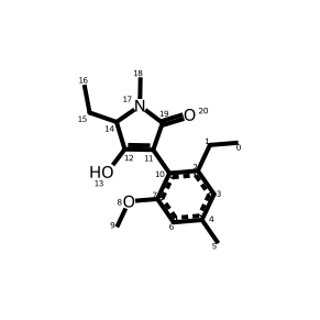 CCc1cc(C)cc(OC)c1C1=C(O)C(CC)N(C)C1=O